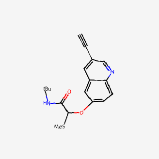 C#Cc1cnc2ccc(OC(SC)C(=O)NC(C)(C)C)cc2c1